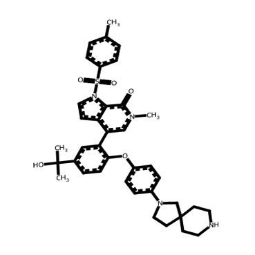 Cc1ccc(S(=O)(=O)n2ccc3c(-c4cc(C(C)(C)O)ccc4Oc4ccc(N5CCC6(CCNCC6)C5)cc4)cn(C)c(=O)c32)cc1